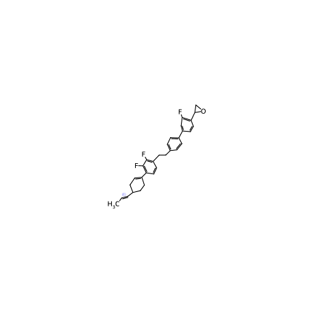 C/C=C/C1CC=C(c2ccc(CCc3ccc(-c4ccc(C5CO5)c(F)c4)cc3)c(F)c2F)CC1